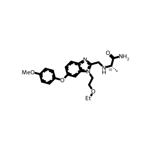 CCOCCn1c(CN[C@@H](C)C(N)=O)nc2ccc(Oc3ccc(OC)cc3)cc21